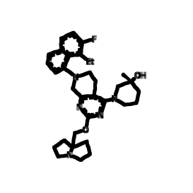 CCc1c(F)ccc2cccc(N3CCc4c(nc(OCC56CCCN5CCC6)nc4N4CCC[C@@](C)(O)C4)C3)c12